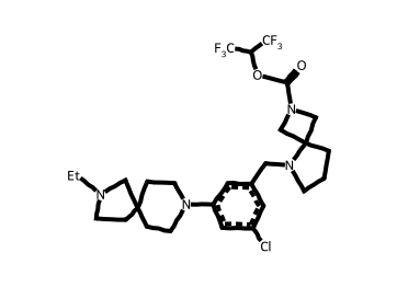 CCN1CCC2(CCN(c3cc(Cl)cc(CN4CCCC45CN(C(=O)OC(C(F)(F)F)C(F)(F)F)C5)c3)CC2)C1